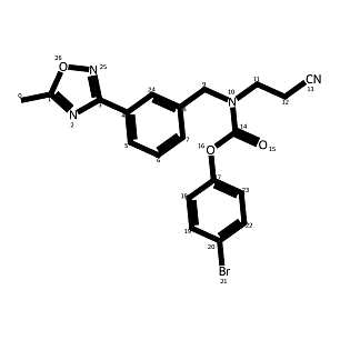 Cc1nc(-c2cccc(CN(CCC#N)C(=O)Oc3ccc(Br)cc3)c2)no1